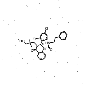 CC(C)(CO)CN1C(=O)c2ccccc2[C@@H](C(=O)NCCc2ccccc2)[C@@H]1c1ccc(Cl)cc1Cl